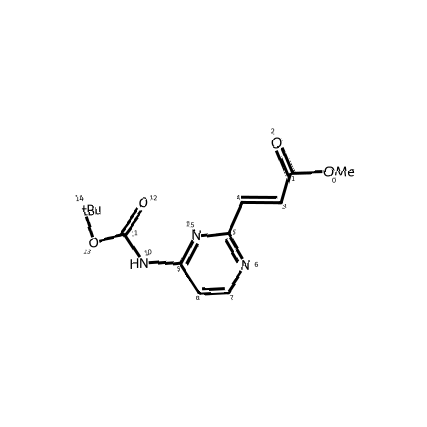 COC(=O)/C=C/c1nccc(NC(=O)OC(C)(C)C)n1